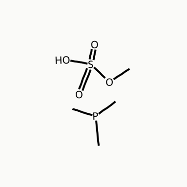 COS(=O)(=O)O.CP(C)C